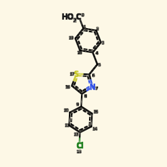 O=C(O)c1ccc(Cc2nc(-c3ccc(Cl)cc3)cs2)cc1